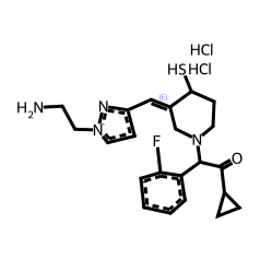 Cl.Cl.NCCn1ccc(/C=C2\CN(C(C(=O)C3CC3)c3ccccc3F)CCC2S)n1